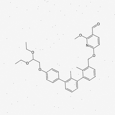 CCOC(COc1ccc(-c2cccc(-c3cccc(COc4ccc(C=O)c(OC)n4)c3C)c2C)cc1)OCC